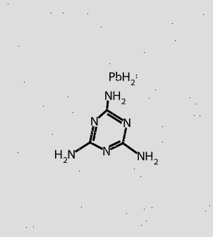 Nc1nc(N)nc(N)n1.[PbH2]